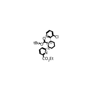 CCOC(=O)c1cccc([C@H]2CCC[C@@H](c3ncccc3Cl)N2C(=O)OC(C)(C)C)n1